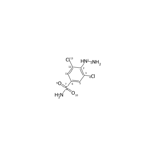 NNc1c(Cl)cc(S(N)(=O)=O)cc1Cl